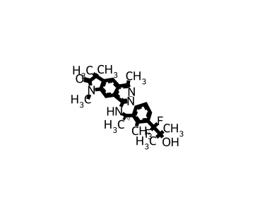 Cc1c([C@@H](C)Nc2nnc(C)c3cc4c(cc23)N(C)C(=O)C4(C)C)cccc1C(F)(F)C(C)(C)O